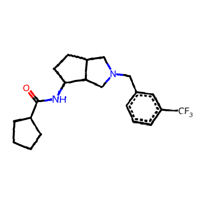 O=C(NC1CCC2CN(Cc3cccc(C(F)(F)F)c3)CC21)C1CCCC1